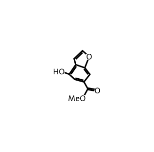 COC(=O)c1cc(O)c2ccoc2c1